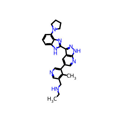 CCNCc1cncc(-c2cnc3[nH]nc(-c4nc5c(N6CCCC6)cccc5[nH]4)c3c2)c1C